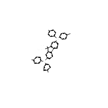 CCCCCCCCC1(CCCCCCCC)c2cc(N(c3ccc(C)cc3)c3ccc(C)cc3)ccc2-c2ccc(N(c3ccc(C)cc3)c3ccc(C)cc3)cc21